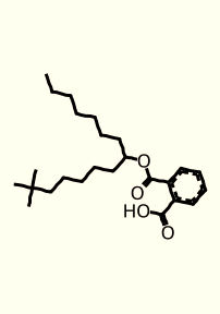 CCCCCCCC(CCCCCC(C)(C)C)OC(=O)c1ccccc1C(=O)O